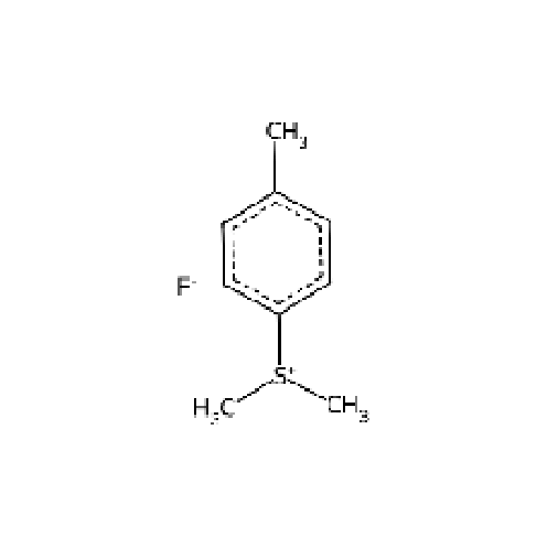 Cc1ccc([S+](C)C)cc1.[F-]